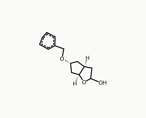 OC1C[C@@H]2C[C@@H](OCc3ccccc3)C[C@@H]2O1